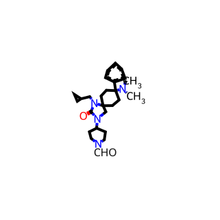 CN(C)C1(c2ccccc2)CCC2(CC1)CN(C1CCN(C=O)CC1)C(=O)N2CC1CC1